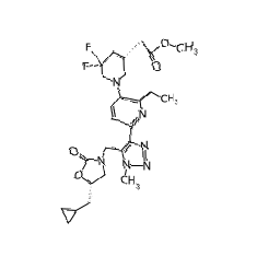 CCc1nc(-c2nnn(C)c2CN2C[C@H](CC3CC3)OC2=O)ccc1N1C[C@@H](CC(=O)OC)CC(F)(F)C1